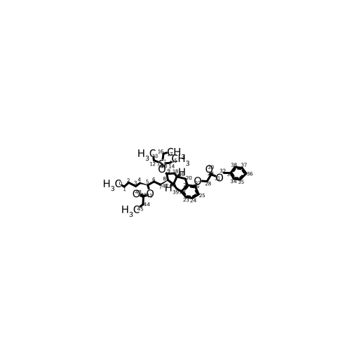 CCCCC[C@@H](CC[C@H]1C(O[Si](CC)(CC)CC)C[C@@H]2Cc3c(cccc3OCC(=O)OCc3ccccc3)C[C@@H]21)OC(=O)CC